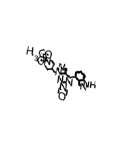 CS(=O)(=O)N1CCC(Cn2ncc3c(-c4cccc5[nH]ncc45)nc(N4CCOCC4)nc32)CC1